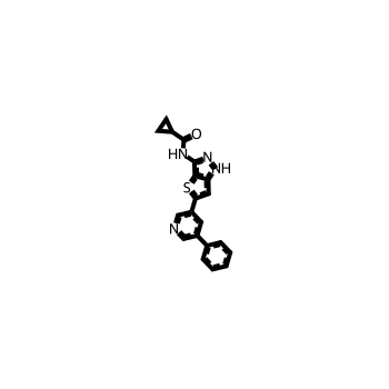 O=C(Nc1n[nH]c2cc(-c3cncc(-c4ccccc4)c3)sc12)C1CC1